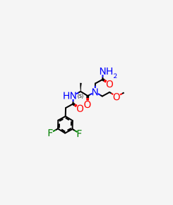 COCCN(CC(N)=O)C(=O)[C@H](C)NC(=O)Cc1cc(F)cc(F)c1